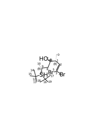 C[C@H](C=C(Br)Br)[C@H](O)C[C@@H](C)[SiH](C(C)(C)C)C(C)(C)C